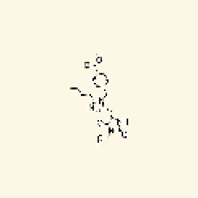 CCCCc1ncc(C=C2NC(=O)N(COC)C2=O)n1Cc1ccc(C(=O)OC)cc1